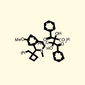 COc1ccc2c(c1)C(C1(CC(C)C)CCC1)N(C)CC2.O=C(O)C(O)(C(=O)c1ccccc1)C(O)(C(=O)O)C(=O)c1ccccc1